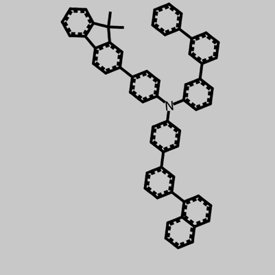 CC1(C)c2ccccc2-c2ccc(-c3ccc(N(c4ccc(-c5cccc(-c6cccc7ccccc67)c5)cc4)c4cccc(-c5cccc(-c6ccccc6)c5)c4)cc3)cc21